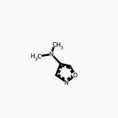 CN(C)c1cnoc1